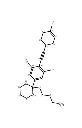 CCCCCC1(c2cc(F)c(C#CC3CC=C(F)CC3)c(F)c2)OCCCO1